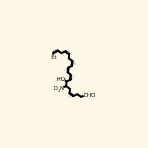 CC/C=C\C/C=C\C\C=C/C=C\C=C/C(O)C(C/C=C\CC[C]=O)[N+](=O)[O-]